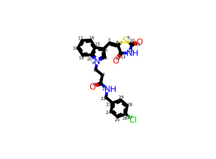 O=C(CCn1cc(C=C2SC(=O)NC2=O)c2ccccc21)NCc1ccc(Cl)cc1